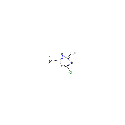 CC(C)(C)c1nc(Cl)cc(C2CC2)n1